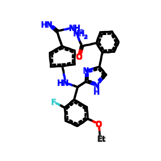 CCOc1ccc(F)c(C(Nc2ccc(C(=N)N)cc2)c2nc(-c3ccccc3C(N)=O)c[nH]2)c1